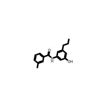 CCCc1cc(O)cc(NC(=O)c2cccc(C)c2)c1